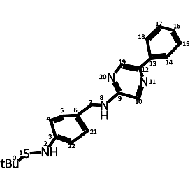 CC(C)(C)SNc1ccc(CNc2cnc(-c3ccccc3)cn2)cc1